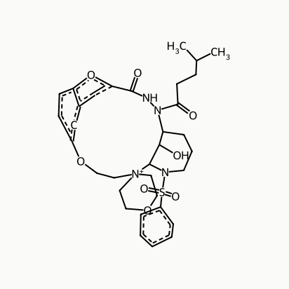 CC(C)CCC(=O)N1NC(=O)c2cc3cc(ccc3o2)OCC[N+]2(CCOCC2)C2C(O)C1CCCN2S(=O)(=O)c1ccccc1